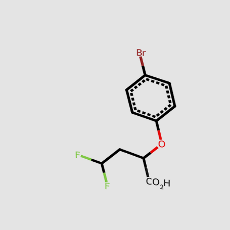 O=C(O)C(CC(F)F)Oc1ccc(Br)cc1